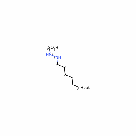 CCCCCCCCCCCCNNS(=O)(=O)O